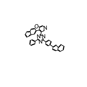 c1ccc(-c2nc(-c3ccc(-c4ccc5ccccc5c4)cc3)nc(-c3cncc4oc5cc6ccccc6cc5c34)n2)cc1